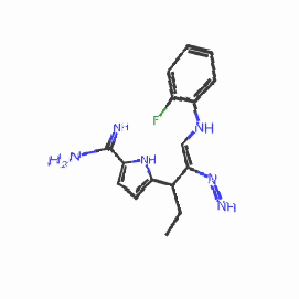 CCC(/C(=C/Nc1ccccc1F)N=N)c1ccc(C(=N)N)[nH]1